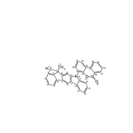 CC1(C)c2ccccc2-c2cc3c4ccccc4n(-c4cccc5c4oc(=O)c4ccccc45)c3cc21